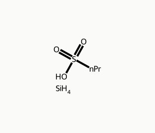 CCCS(=O)(=O)O.[SiH4]